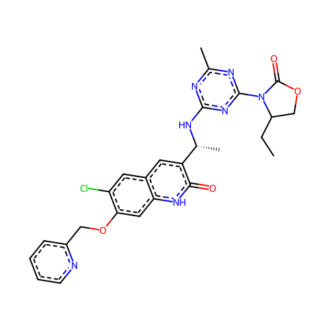 CCC1COC(=O)N1c1nc(C)nc(N[C@H](C)c2cc3cc(Cl)c(OCc4ccccn4)cc3[nH]c2=O)n1